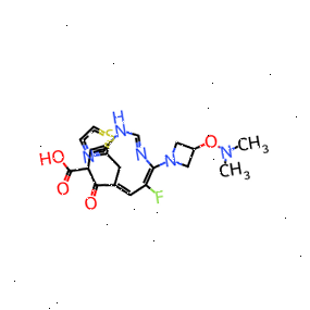 CN(C)OC1CN(C2=C(F)/C=C(\Cc3nccs3)C(=O)C(C(=O)O)/C=C/N\C=N\2)C1